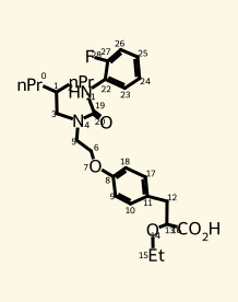 CCCC(CCC)CN(CCOc1ccc(CC(OCC)C(=O)O)cc1)C(=O)Nc1ccccc1F